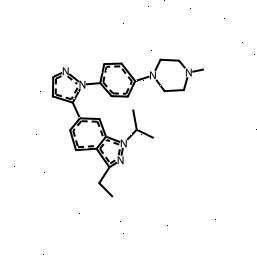 CCc1nn(C(C)C)c2cc(-c3ccnn3-c3ccc(N4CCN(C)CC4)cc3)ccc12